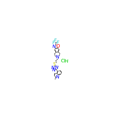 Cc1ccc2c(-c3nnc(SCCCN4CCc5cc6nc(C(F)(F)F)oc6cc5CC4)n3C)cccc2n1.Cl